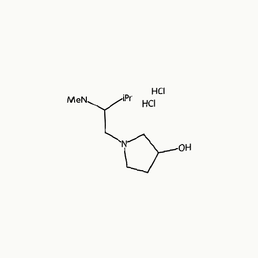 CNC(CN1CCC(O)C1)C(C)C.Cl.Cl